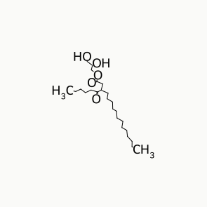 CCCCCCCCCCCCCC(CC(=O)OCC(O)CO)C(=O)CCCCC